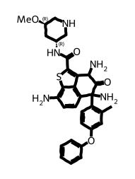 CO[C@H]1CNC[C@H](NC(=O)c2sc3c(N)ccc4c3c2C(N)C(=O)C4(N)c2ccc(Oc3ccccc3)cc2C)C1